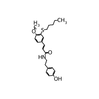 CCCCCSc1cc(C=CC(=O)NCCc2ccc(O)cc2)ccc1OC